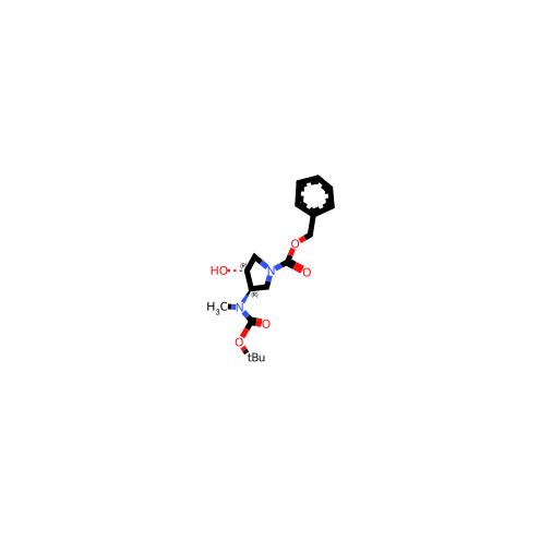 CN(C(=O)OC(C)(C)C)[C@@H]1CN(C(=O)OCc2ccccc2)C[C@H]1O